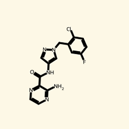 Nc1nccnc1C(=O)Nc1cnn(Cc2cc(F)ccc2Cl)c1